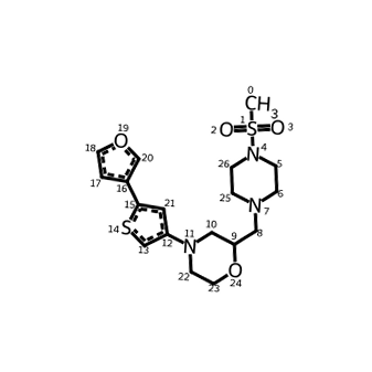 CS(=O)(=O)N1CCN(CC2CN(c3csc(-c4ccoc4)c3)CCO2)CC1